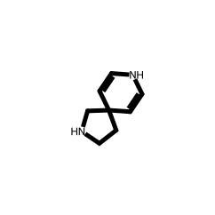 C1=CC2(C=CN1)CCNC2